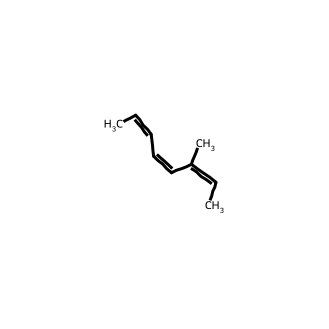 C\C=C/C=C\C(C)=C/C